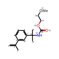 C=C(C)c1cccc(C(C)(C)NC(=O)OCCOC)c1